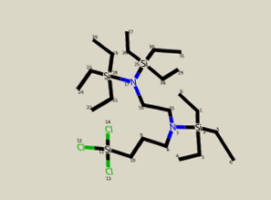 CC[Si](CC)(CC)N(CCC[Si](Cl)(Cl)Cl)CCN([Si](CC)(CC)CC)[Si](CC)(CC)CC